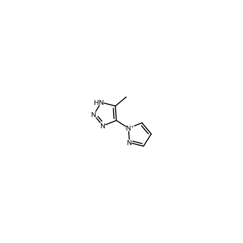 Cc1[nH]nnc1[N+]1C=CC=N1